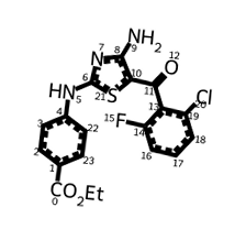 CCOC(=O)c1ccc(Nc2nc(N)c(C(=O)c3c(F)cccc3Cl)s2)cc1